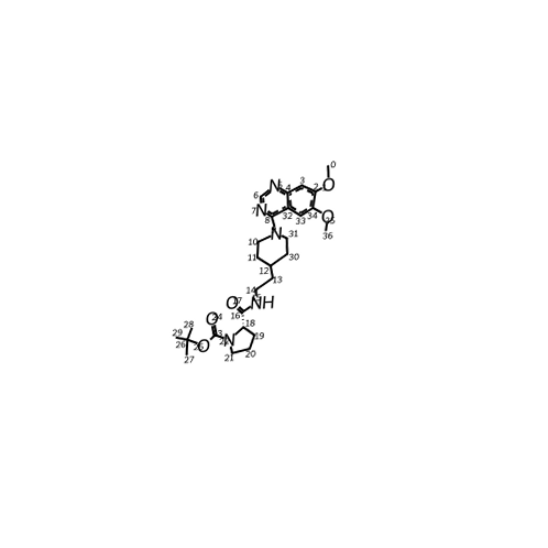 COc1cc2ncnc(N3CCC(CCNC(=O)[C@@H]4CCCN4C(=O)OC(C)(C)C)CC3)c2cc1OC